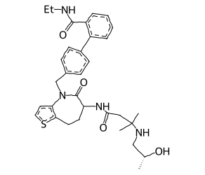 CCNC(=O)c1ccccc1-c1ccc(CN2C(=O)C(NC(=O)CC(C)(C)NC[C@@H](C)O)CCc3sccc32)cc1